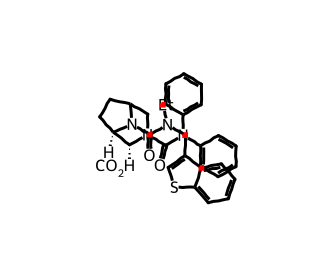 CCN(Cc1csc2ccccc12)C(=O)N1C2CC[C@@H]1[C@@H](C(=O)O)N(C(=O)N(c1ccccc1)c1ccccc1)C2